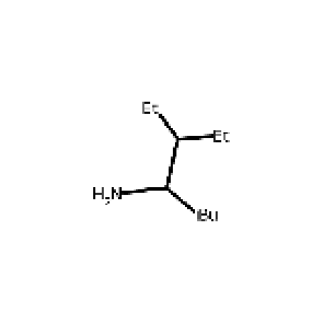 CCC(C)C(N)C(CC)CC